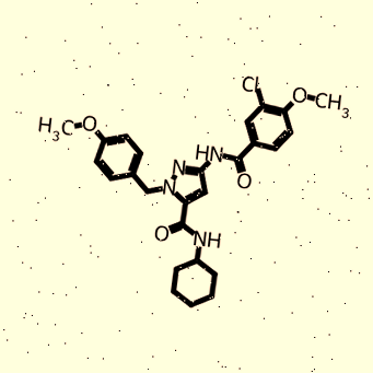 COc1ccc(Cn2nc(NC(=O)c3ccc(OC)c(Cl)c3)cc2C(=O)NC2CCCCC2)cc1